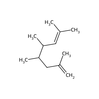 C=C(C)CC(C)[C](C)C=C(C)C